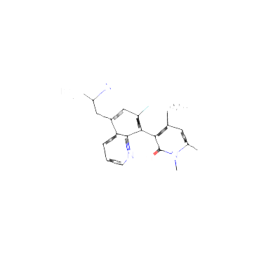 COc1cc(C)n(C)c(=O)c1-c1c(F)cc(CC(N)C(=O)O)c2cccnc12